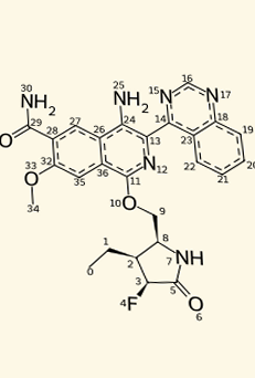 CC[C@@H]1[C@H](F)C(=O)N[C@@H]1COc1nc(-c2ncnc3ccccc23)c(N)c2cc(C(N)=O)c(OC)cc12